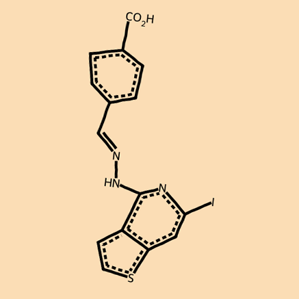 O=C(O)c1ccc(C=NNc2nc(I)cc3sccc23)cc1